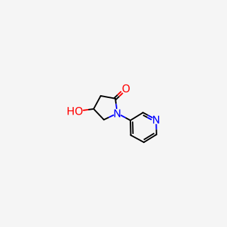 O=C1CC(O)CN1c1cccnc1